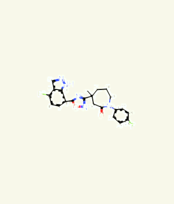 CC1(c2noc(-c3ccc(F)c4cn[nH]c34)n2)CCCN(c2ccc(F)cc2)C(=O)C1